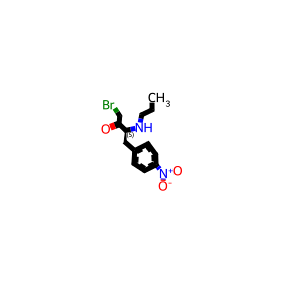 CCCN[C@@H](Cc1ccc([N+](=O)[O-])cc1)C(=O)CBr